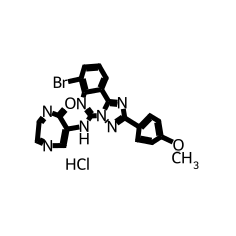 COc1ccc(-c2nc3c4cccc(Br)c4nc(Nc4cnccnc4=O)n3n2)cc1.Cl